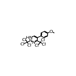 COc1ccc(C2=CNN(C(Cl)(Cl)Cl)N=C2C(Cl)(Cl)Cl)cc1